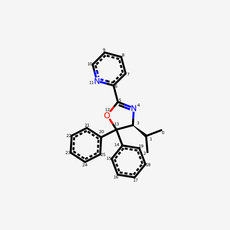 CC(C)[C@@H]1N=C(c2ccccn2)OC1(c1ccccc1)c1ccccc1